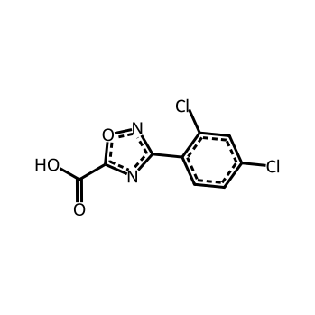 O=C(O)c1nc(-c2ccc(Cl)cc2Cl)no1